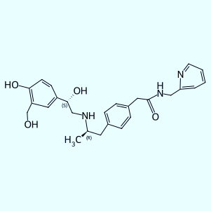 C[C@H](Cc1ccc(CC(=O)NCc2ccccn2)cc1)NC[C@@H](O)c1ccc(O)c(CO)c1